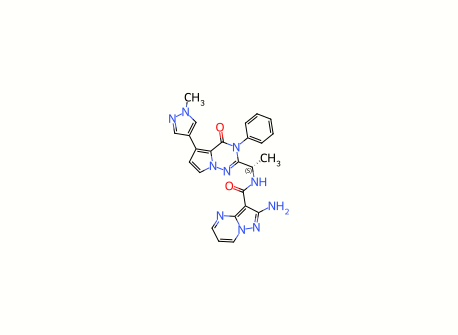 C[C@H](NC(=O)c1c(N)nn2cccnc12)c1nn2ccc(-c3cnn(C)c3)c2c(=O)n1-c1ccccc1